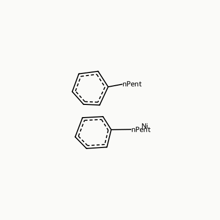 CCCCCc1ccccc1.CCCCCc1ccccc1.[Ni]